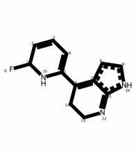 FC1C=CC=C(C2=c3cc[nH]c3=NCC2)N1